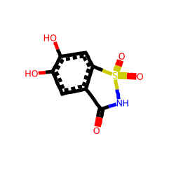 O=C1NS(=O)(=O)c2cc(O)c(O)cc21